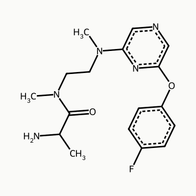 CC(N)C(=O)N(C)CCN(C)c1cncc(Oc2ccc(F)cc2)n1